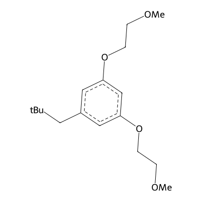 COCCOc1cc(CC(C)(C)C)cc(OCCOC)c1